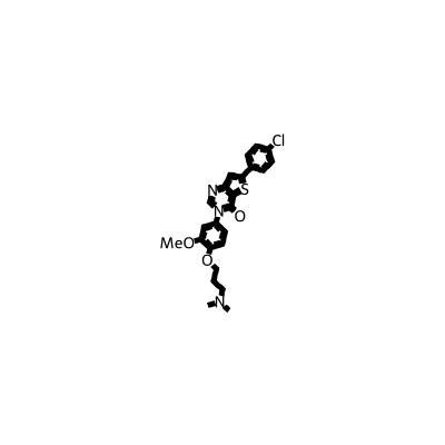 COc1cc(-n2cnc3cc(-c4ccc(Cl)cc4)sc3c2=O)ccc1OCCCN(C)C